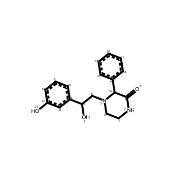 O=C1NCCN(CC(O)c2cccc(O)c2)C1c1ccccc1